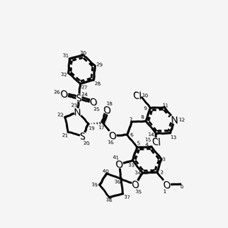 COc1ccc(C(Cc2c(Cl)cncc2Cl)OC(=O)[C@@H]2SCCN2S(=O)(=O)c2ccccc2)c2c1OC1(CCCC1)O2